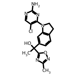 Cc1noc(C(C)(O)c2ccc3c(c2)N(c2nc(N)ncc2Cl)CC3)n1